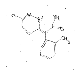 Cc1ccccc1/C(C(N)=O)=C1\C=CC(Cl)=NN1